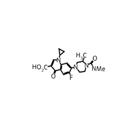 CNC(=O)N1CCN(c2cc3c(cc2F)c(=O)c(C(=O)O)cn3C2CC2)CC1C